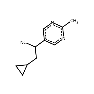 Cc1ncc(C(C#N)CC2CC2)cn1